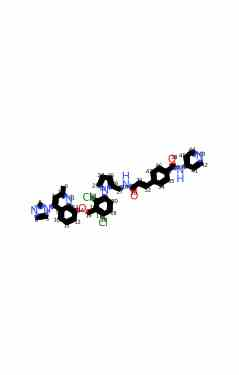 Cc1cc(-n2ccnc2)c2cccc(OCc3c(Cl)ccc(-n4cccc4CNC(=O)/C=C/c4ccc(C(=O)Nc5ccncc5)cc4)c3Cl)c2n1